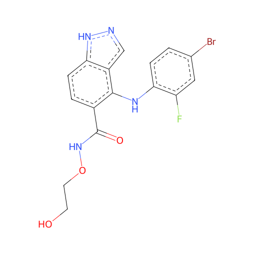 O=C(NOCCO)c1ccc2[nH]ncc2c1Nc1ccc(Br)cc1F